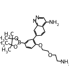 CC1(C)OB(c2ccc(OCCOCCN)c(-c3ccc4c(N)cnnc4c3)c2)OC1(C)C